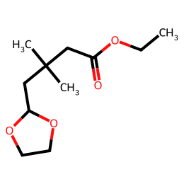 CCOC(=O)CC(C)(C)CC1OCCO1